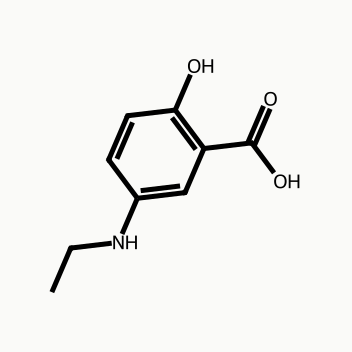 CCNc1ccc(O)c(C(=O)O)c1